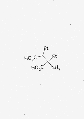 CCC(C(=O)O)C(N)(CC)C(=O)O